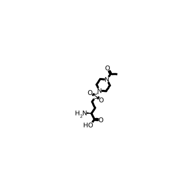 CC(=O)N1CCN(S(=O)(=O)CC[C@H](N)C(=O)O)CC1